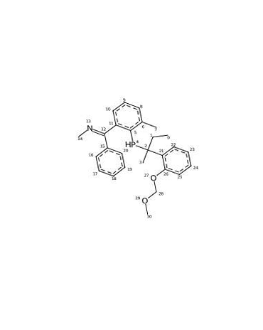 CCC(C)(Pc1c(C)cccc1/C(=N/C)c1ccccc1)c1ccccc1OCOC